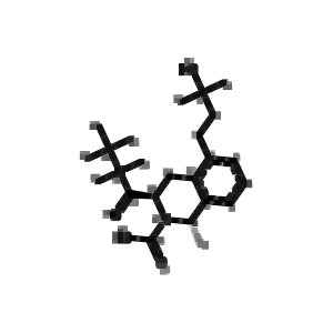 C[C@H]1c2cccc(CCC(C)(C)O)c2C[C@H](C(=O)[Si](C)(C)C(C)(C)C)N1C(=O)O